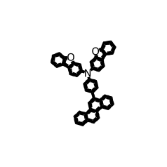 c1ccc2c(c1)ccc1c3ccccc3c(-c3ccc(N(c4ccc5c(c4)oc4ccccc45)c4ccc5c(c4)oc4ccccc45)cc3)cc21